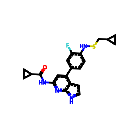 O=C(Nc1cc(-c2ccc(NSCC3CC3)c(F)c2)c2cc[nH]c2n1)C1CC1